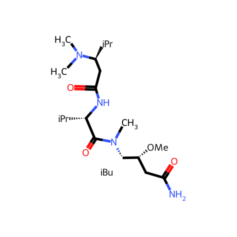 CC[C@H](C)[C@@H]([C@@H](CC(N)=O)OC)N(C)C(=O)[C@@H](NC(=O)C[C@H](C(C)C)N(C)C)C(C)C